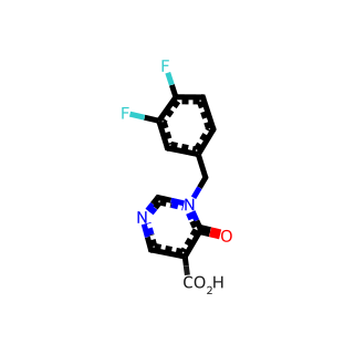 O=C(O)c1cncn(Cc2ccc(F)c(F)c2)c1=O